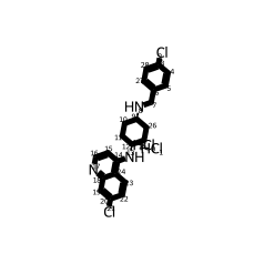 Cl.Cl.Clc1ccc(CN[C@H]2CC[C@@H](Nc3ccnc4cc(Cl)ccc34)CC2)cc1